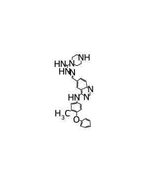 Cc1cc(Nc2ncnc3ccc(/C=N/NC(=N)N4CCNCC4)cc23)ccc1Oc1ccccc1